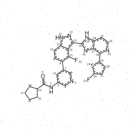 O=C(Nc1cncc(-c2ccc3[nH]nc(-c4nc5c(-c6ccc(F)s6)nccc5[nH]4)c3c2F)c1)C1CCCC1